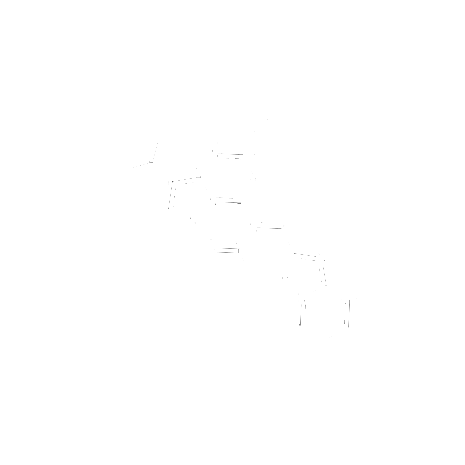 CC(C)c1cnn2c(N(Cc3cn4ccccc4n3)C(=O)O)cc(Cl)nc12